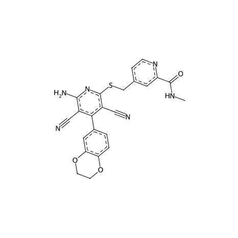 CNC(=O)c1cc(CSc2nc(N)c(C#N)c(-c3ccc4c(c3)OCCO4)c2C#N)ccn1